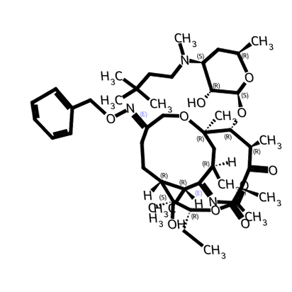 CC[C@H]1OC(=O)[C@H](C)C(=O)[C@H](C)[C@@H](O[C@@H]2O[C@H](C)C[C@H](N(C)CCC(C)(C)C)[C@H]2O)[C@@]2(C)C[C@@H](C)/C(=N\C(C)=O)[C@H](C)[C@@H](CC/C(=N\OCc3ccccc3)CO2)[C@]1(C)O